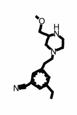 CCc1cc(C#N)cc(CCN2CCNC(COC)C2)c1